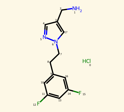 Cl.NCc1cnn(CCc2cc(F)cc(F)c2)c1